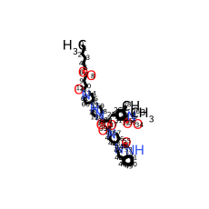 CCCCCCOC(=O)CCC(=O)N1CCC(N2CCN(C(=O)[C@@H](Cc3cc(C)c4c(c3)oc(=O)n4C)OC(=O)N3CCC(N4CCc5ccccc5NC4=O)CC3)CC2)CC1